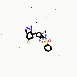 O=S(=O)(N[C@H]1[C@@H]2C[C@@](O)(c3cc(Cl)cc4cn[nH]c34)C[C@@H]21)c1ccccc1